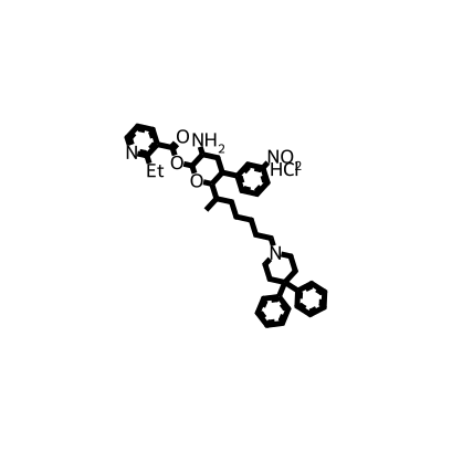 CCc1ncccc1C(=O)OC1OC(C(C)CCCCCN2CCC(c3ccccc3)(c3ccccc3)CC2)C(c2cccc([N+](=O)[O-])c2)CC1N.Cl